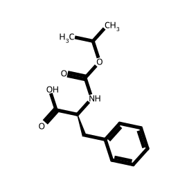 CC(C)OC(=O)N[C@@H](Cc1ccccc1)C(=O)O